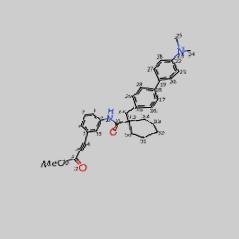 COC(=O)C#Cc1cccc(NC(=O)C2(Cc3ccc(-c4ccc(N(C)C)cc4)cc3)CCCCC2)c1